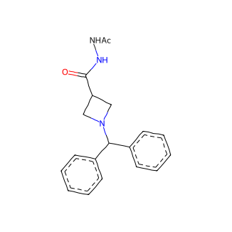 CC(=O)NNC(=O)C1CN(C(c2ccccc2)c2ccccc2)C1